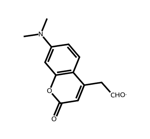 CN(C)c1ccc2c(C[C]=O)cc(=O)oc2c1